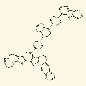 c1ccc2cc3c(ccc4c3nc3c5sc6c7ccccc7ccc6c5cc(-c5ccc(-c6ccc(-c7ccc(-c8cccc9c8sc8ccccc89)cc7)c7ccccc67)cc5)n43)cc2c1